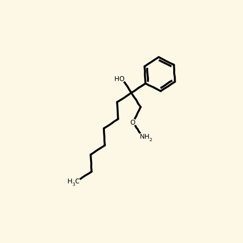 CCCCCCCC(O)(CON)c1ccccc1